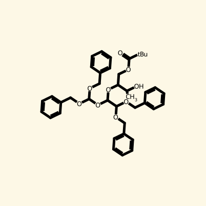 CC(O)C(COC(=O)C(C)(C)C)OC(OC(OCc1ccccc1)OCc1ccccc1)C(OCc1ccccc1)OCc1ccccc1